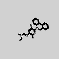 CCN(C)/C=N/c1cc(Br)c(OCc2ccccc2-c2ccccc2)nc1C